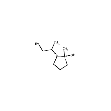 CC(C)CC(C)C1CCCC1(C)O